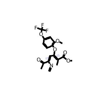 C=N/C(=C\C(Oc1ccc(OC(F)(F)F)cc1OC)=C(/C)C(=O)OC)C(C)=O